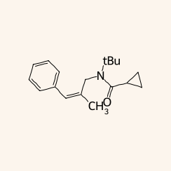 C/C(=C/c1ccccc1)CN(C(=O)C1CC1)C(C)(C)C